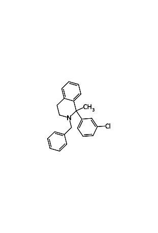 CC1(c2cccc(Cl)c2)c2ccccc2CCN1Cc1ccccc1